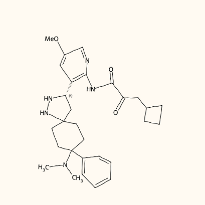 COc1cnc(NC(=O)C(=O)CC2CCC2)c([C@@H]2CC3(CCC(c4ccccc4)(N(C)C)CC3)NN2)c1